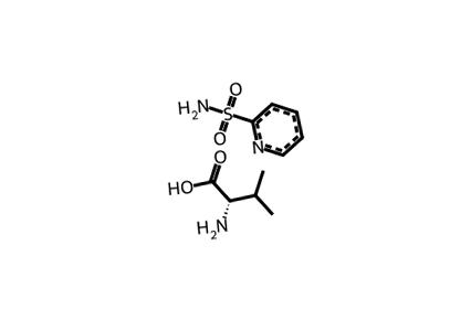 CC(C)[C@H](N)C(=O)O.NS(=O)(=O)c1ccccn1